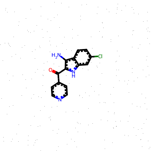 Nc1c(C(=O)c2ccncc2)[nH]c2cc(Cl)ccc12